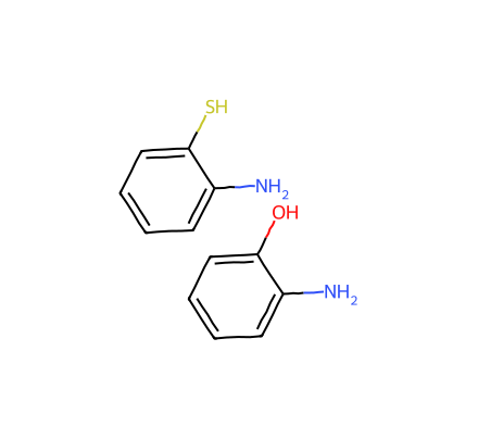 Nc1ccccc1O.Nc1ccccc1S